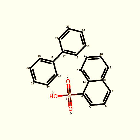 O=S(=O)(O)c1cccc2ccccc12.c1ccc(-c2ccccc2)cc1